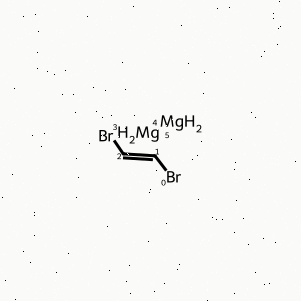 BrC=CBr.[MgH2].[MgH2]